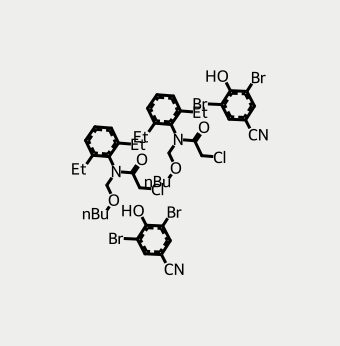 CCCCOCN(C(=O)CCl)c1c(CC)cccc1CC.CCCCOCN(C(=O)CCl)c1c(CC)cccc1CC.N#Cc1cc(Br)c(O)c(Br)c1.N#Cc1cc(Br)c(O)c(Br)c1